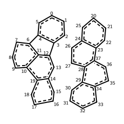 c1ccc2c(c1)-c1cccc3c1c-2cc1ccccc13.c1ccc2c(c1)ccc1c3ccccc3ccc21